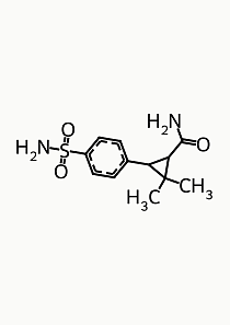 CC1(C)C(C(N)=O)C1c1ccc(S(N)(=O)=O)cc1